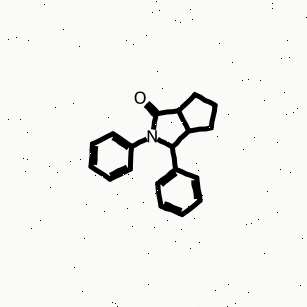 O=C1C2CCCC2C(c2ccccc2)N1c1ccccc1